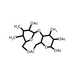 CC(=O)OCC1OC(OC2C(CI)OC(OC(C)=O)C(OC(C)=O)C2C)C(OC(C)=O)C(C)C1C